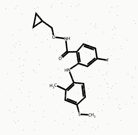 CSc1ccc(Nc2cc(F)ccc2C(=O)NOCC2CC2)c(C)c1